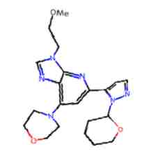 COCCn1cnc2c(N3CCOCC3)cc(-c3ccnn3C3CCCCO3)nc21